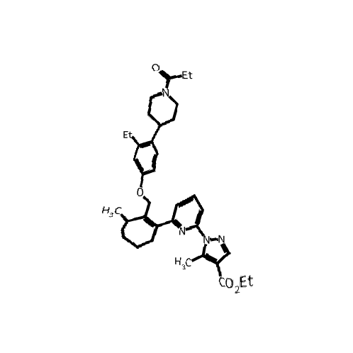 CCOC(=O)c1cnn(-c2cccc(C3=C(COc4ccc(C5CCN(C(=O)CC)CC5)c(CC)c4)C(C)CCC3)n2)c1C